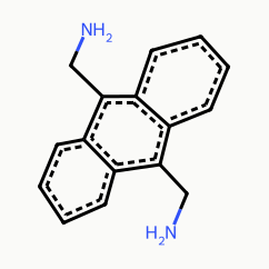 NCc1c2ccccc2c(CN)c2ccccc12